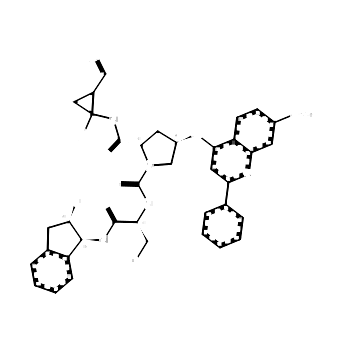 C=CC1CC1(NC(=O)[C@@H]1C[C@@H](Oc2cc(-c3ccccc3)nc3cc(OC)ccc23)CN1C(=O)N[C@@H](CC(C)(C)C)C(=O)N[C@H]1c2ccccc2C[C@H]1O)C(=O)O